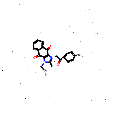 Cc1n(CC(C)C)c2c([n+]1CC(=O)c1ccc([N+](=O)[O-])cc1)C(=O)c1ccccc1C2=O.[Br-]